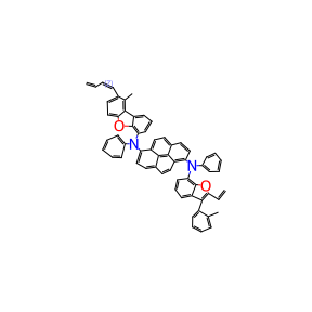 C=C/C=C\c1ccc2oc3c(N(c4ccccc4)c4ccc5ccc6c(N(c7ccccc7)c7cccc8c(-c9ccccc9C)c(C=C)oc78)ccc7ccc4c5c76)cccc3c2c1C